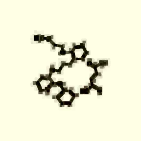 COCCOc1cnccc1CCCOc1cccnc1Oc1ccccc1.O=C(O)/C=C/C(=O)O